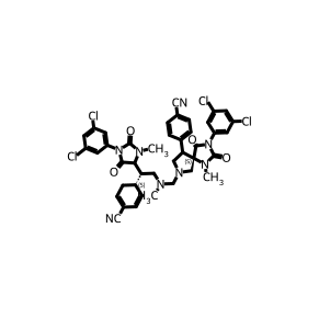 CN(CC(C1C(=O)N(c2cc(Cl)cc(Cl)c2)C(=O)N1C)[C@@H]1C=CC(C#N)=CC1)CN1CC(c2ccc(C#N)cc2)[C@]2(C1)C(=O)N(c1cc(Cl)cc(Cl)c1)C(=O)N2C